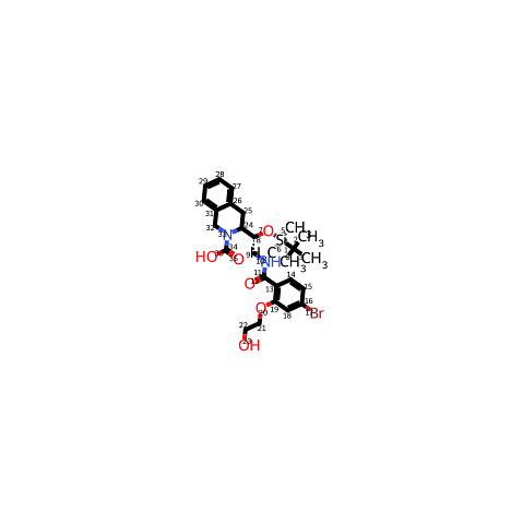 CC(C)(C)[Si](C)(C)O[C@H](CNC(=O)c1ccc(Br)cc1OCCO)C1Cc2ccccc2CN1C(=O)O